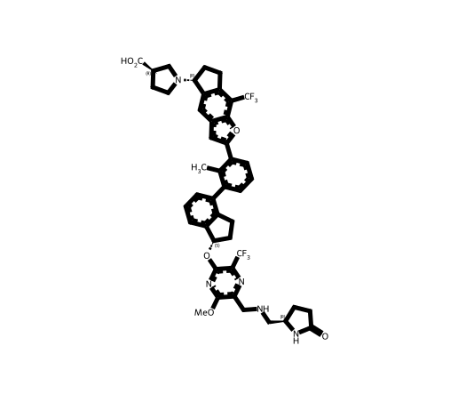 COc1nc(O[C@H]2CCc3c(-c4cccc(-c5cc6cc7c(c(C(F)(F)F)c6o5)CC[C@H]7N5CC[C@@H](C(=O)O)C5)c4C)cccc32)c(C(F)(F)F)nc1CNC[C@H]1CCC(=O)N1